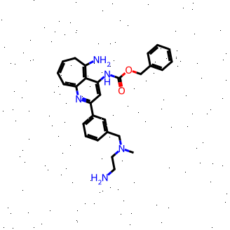 CN(CCN)Cc1cccc(-c2cc(NC(=O)OCc3ccccc3)c3c(n2)=CC=CCC=3N)c1